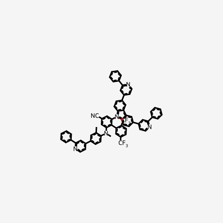 Cc1cc(-c2ccnc(-c3ccccc3)c2)ccc1N(C)c1cc(C#N)cc(-n2c3ccc(-c4ccnc(-c5ccccc5)c4)cc3c3cc(-c4ccnc(-c5ccccc5)c4)ccc32)c1-c1cc(C(F)(F)F)ccc1C(F)(F)F